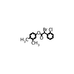 Cc1ccc(OC(=O)C(Br)c2ccccc2Cl)cc1C